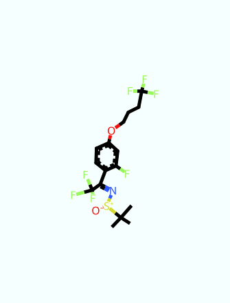 CC(C)(C)[S+]([O-])N=C(c1ccc(OCCCC(F)(F)F)cc1F)C(F)(F)F